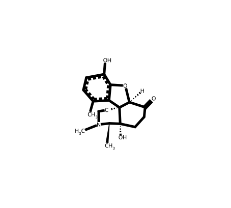 Cc1ccc(O)c2c1[C@]13CCN(C)[C@H](C)[C@]1(O)CCC(=O)[C@@H]3O2